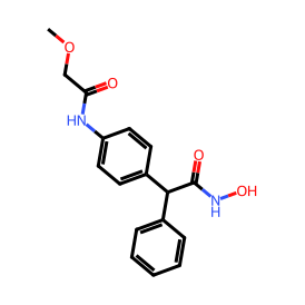 COCC(=O)Nc1ccc(C(C(=O)NO)c2ccccc2)cc1